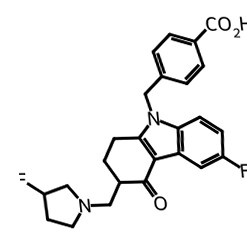 O=C(O)c1ccc(Cn2c3c(c4cc(F)ccc42)C(=O)C(CN2CCC(F)C2)CC3)cc1